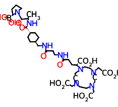 C[C@@H](NC(=O)[C@H]1CC[C@H](CNC(=O)CCNC(=O)CC[C@H](C(=O)O)N2CCN(CC(=O)O)CCN(CC(=O)O)CCN(CC(=O)O)CC2)CC1)C(=O)N1CCC[C@H]1B(O)O